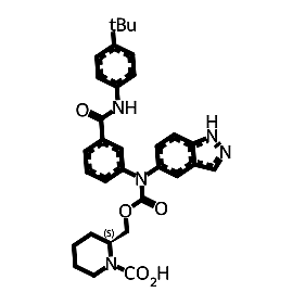 CC(C)(C)c1ccc(NC(=O)c2cccc(N(C(=O)OC[C@@H]3CCCCN3C(=O)O)c3ccc4[nH]ncc4c3)c2)cc1